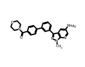 CC(=O)Nc1cnc2c(c1)c(-c1cccc(-c3ccc(C(=O)N4CCOCC4)cc3)c1)nn2C